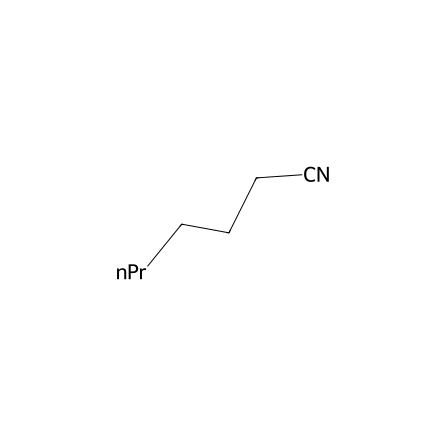 C[CH]CCCCC#N